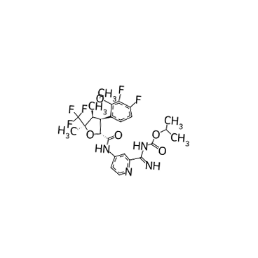 COc1c([C@H]2[C@H](C(=O)Nc3ccnc(C(=N)NC(=O)OC(C)C)c3)O[C@@](C)(C(F)(F)F)[C@H]2C)ccc(F)c1F